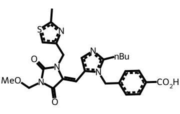 CCCCc1ncc(/C=C2/C(=O)N(COC)C(=O)N2Cc2csc(C)n2)n1Cc1ccc(C(=O)O)cc1